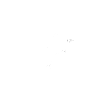 ClC1=CC=CN[N]1